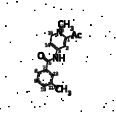 CC(=O)C1=CC(NC(=O)c2cccc(C)c2)=CCN1C